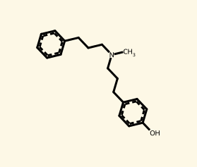 CN(CCCc1ccccc1)CCCc1ccc(O)cc1